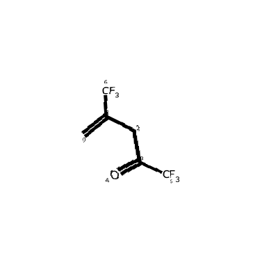 C=C(CC(=O)C(F)(F)F)C(F)(F)F